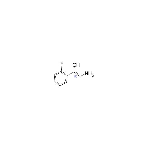 N/C=C(\O)c1ccccc1F